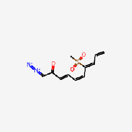 C=C/C=C(/C=C\C=C\C(=O)C=[N+]=[N-])S(C)(=O)=O